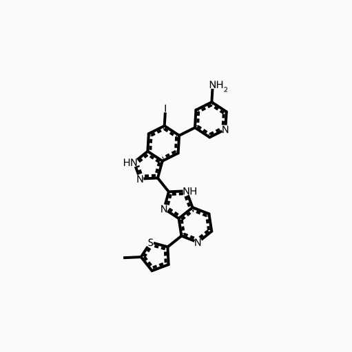 Cc1ccc(-c2nccc3[nH]c(-c4n[nH]c5cc(I)c(-c6cncc(N)c6)cc45)nc23)s1